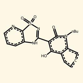 CCCCn1c(=O)c(C2=NS(=O)(=O)c3ncccc3N2)c(O)c2ccccc21